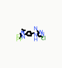 CC(C)n1cc(C(F)(F)F)nc1-c1ccc(CNc2cc(Cl)nnc2C#N)cc1